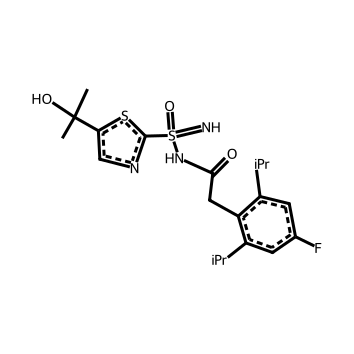 CC(C)c1cc(F)cc(C(C)C)c1CC(=O)NS(=N)(=O)c1ncc(C(C)(C)O)s1